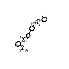 CCCC(=O)Oc1ccccc1NC(=O)c1cc(-c2ccc(NC(=O)Nc3ccccc3F)cc2)no1